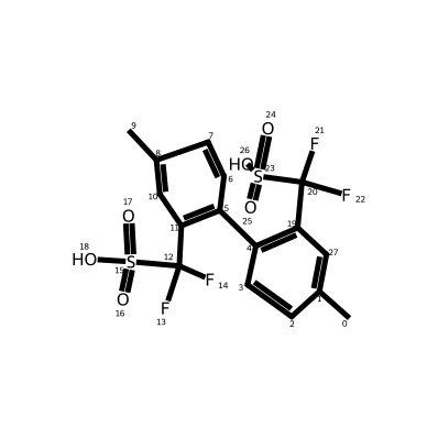 Cc1ccc(-c2ccc(C)cc2C(F)(F)S(=O)(=O)O)c(C(F)(F)S(=O)(=O)O)c1